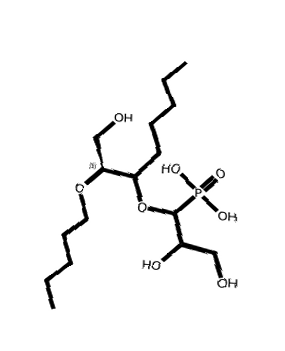 CCCCCO[C@@H](CO)C(CCCCC)OC(C(O)CO)P(=O)(O)O